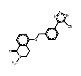 CN1CCc2c(OCc3cccc(-c4nn[nH]c4C#N)c3)cccc2C1=O